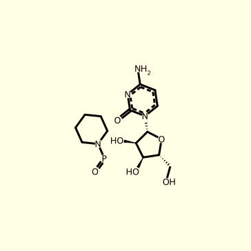 Nc1ccn([C@@H]2O[C@H](CO)[C@@H](O)[C@H]2O)c(=O)n1.O=PN1CCCCC1